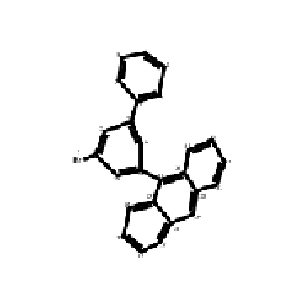 Brc1cc(-c2ccccc2)cc(-c2c3ccccc3cc3ccccc23)c1